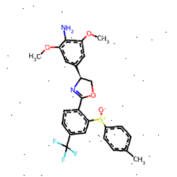 COc1cc([C@H]2COC(c3ccc(C(F)(F)F)cc3[S@@+]([O-])c3ccc(C)cc3)=N2)cc(OC)c1N